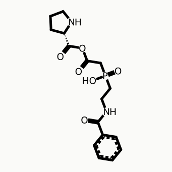 O=C(CP(=O)(O)CCNC(=O)c1ccccc1)OC(=O)[C@@H]1CCCN1